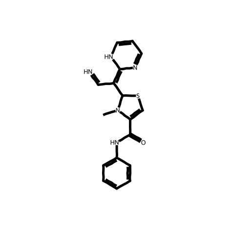 CN1C(C(=O)Nc2ccccc2)=CSC1/C(C=N)=C1\N=CC=CN1